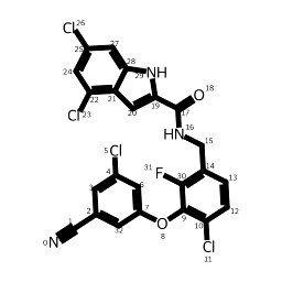 N#Cc1cc(Cl)cc(Oc2c(Cl)ccc(CNC(=O)c3cc4c(Cl)cc(Cl)cc4[nH]3)c2F)c1